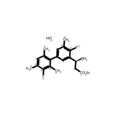 CCOC(=O)C[C@H](N)c1cc(-c2c(C)cc(C)c(F)c2C)cc(C)c1F.Cl